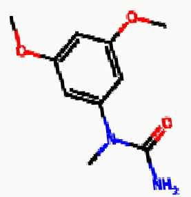 COc1cc(OC)cc(N(C)C(N)=O)c1